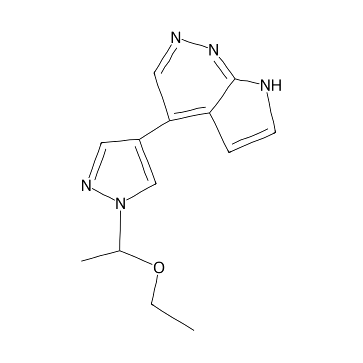 CCOC(C)n1cc(-c2cnnc3[nH]ccc23)cn1